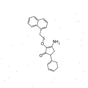 NC1=C(OSCc2cccc3ccccc23)C(=O)C(C2=CC=CCC2)C1